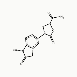 CCC(C)N1C(=O)Cc2cc(N3CC(C(N)=O)OC3=O)ccc21